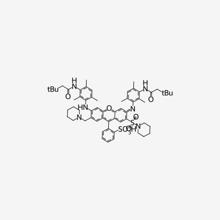 Cc1cc(C)c(NC(=O)CC(C)(C)C)c(C)c1/N=c1\cc2oc3cc(Nc4c(C)cc(C)c(NC(=O)CC(C)(C)C)c4C)c(CN4CCCCC4)cc3c(-c3ccccc3S(=O)(=O)O)c-2cc1S(=O)(=O)N1CCCCC1